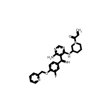 C=CC(=O)N1CCCC(Nc2ncnc(N)c2C(=N)c2ccc(OCc3ccccn3)c(F)c2)C1